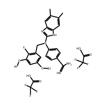 CCOc1cc(CN(c2ccc(C(=N)N)cc2)c2nc3cc(C)c(C)cc3[nH]2)c(F)c(OC(C)C)c1.O=C(O)C(F)(F)F.O=C(O)C(F)(F)F